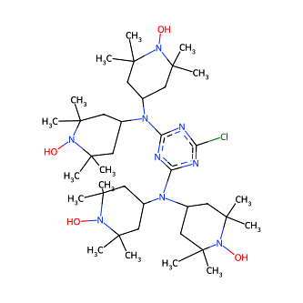 CC1(C)CC(N(c2nc(Cl)nc(N(C3CC(C)(C)N(O)C(C)(C)C3)C3CC(C)(C)N(O)C(C)(C)C3)n2)C2CC(C)(C)N(O)C(C)(C)C2)CC(C)(C)N1O